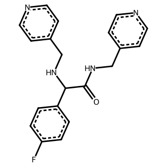 O=C(NCc1ccncc1)C(NCc1ccncc1)c1ccc(F)cc1